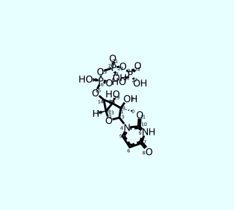 C[C@]1(O)C(n2ccc(=O)[nH]c2=O)O[C@@H]2C(OP(=O)(O)OP(=O)(O)OP(=O)(O)O)[C@@]21O